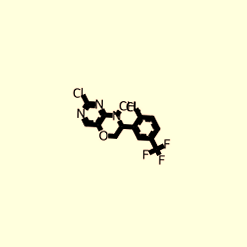 CN1c2nc(Cl)ncc2OCC1c1cc(C(F)(F)F)ccc1Cl